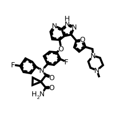 CN1CCN(Cc2ccc(-c3n[nH]c4nccc(Oc5ccc(N(C(=O)C6(C(N)=O)CC6)c6ccc(F)cc6)cc5F)c34)o2)CC1